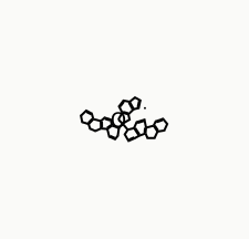 [C]1=CCc2ccc3c(c21)CC(C1CC=Cc2c1ccc1c2CCC2=C1C=CCC2)(C1CC=Cc2c1ccc1c2CCC2=C1C=CCC2)O3